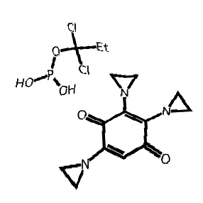 CCC(Cl)(Cl)OP(O)O.O=C1C=C(N2CC2)C(=O)C(N2CC2)=C1N1CC1